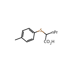 CCCC(Sc1ccc(C)cc1)C(=O)O